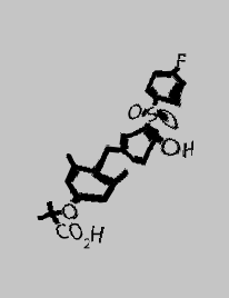 Cc1cc(OC(C)(C)C(=O)O)cc(C)c1Cc1ccc(O)c(S(=O)(=O)c2ccc(F)cc2)c1